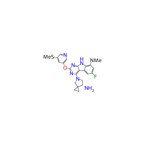 CNc1cc(F)cc2c1[nH]c1nc(Oc3cncc(SC)c3)nc(N3C[C@H](N)C4(CC4)C3)c12